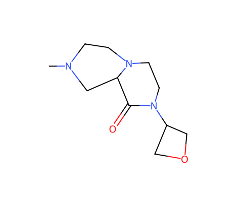 CN1CCN2CCN(C3COC3)C(=O)C2C1